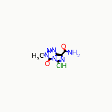 Cl.Cn1nnc2c(C(N)=O)ncn2c1=O